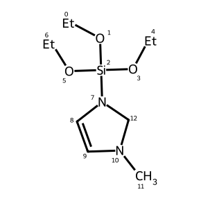 CCO[Si](OCC)(OCC)N1C=CN(C)C1